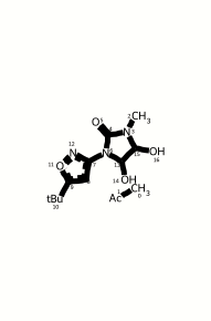 CC(C)=O.CN1C(=O)N(c2cc(C(C)(C)C)on2)C(O)C1O